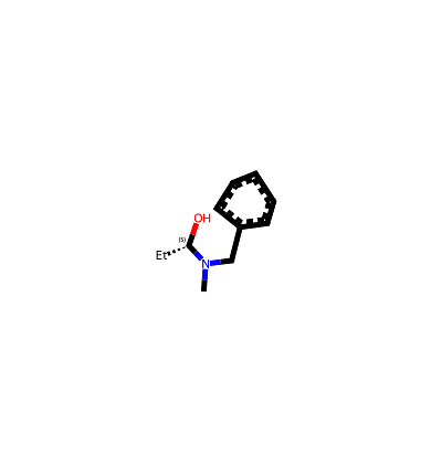 CC[C@H](O)N(C)Cc1ccccc1